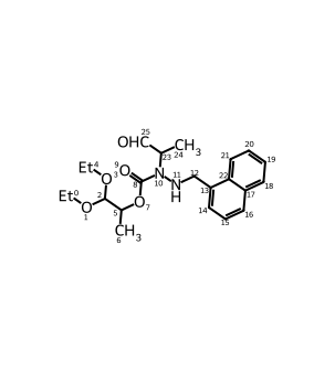 CCOC(OCC)C(C)OC(=O)N(NCc1cccc2ccccc12)C(C)C=O